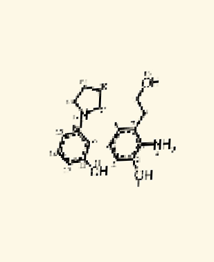 Nc1c(O)cccc1CCO.Oc1cccc(N2CCCC2)c1